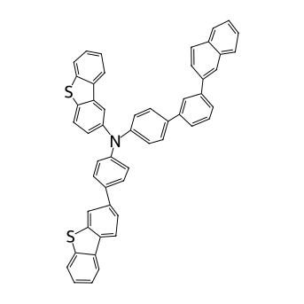 c1cc(-c2ccc(N(c3ccc(-c4ccc5c(c4)sc4ccccc45)cc3)c3ccc4sc5ccccc5c4c3)cc2)cc(-c2ccc3ccccc3c2)c1